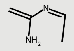 C=C(N)/N=C\C